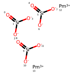 O=[Si]([O-])[O-].O=[Si]([O-])[O-].O=[Si]([O-])[O-].[Pm+3].[Pm+3]